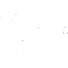 CC(C)NC(=O)O[C@@H]1CC[C@H](c2cnc3c(c2)cc(C2=CCS(=O)(=O)CC2)n3COCC[Si](C)(C)C)C1